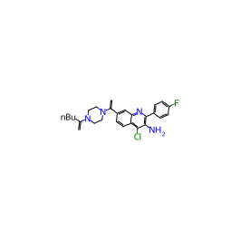 C=C(CCCC)N1CCN(C(=C)c2ccc3c(Cl)c(N)c(-c4ccc(F)cc4)nc3c2)CC1